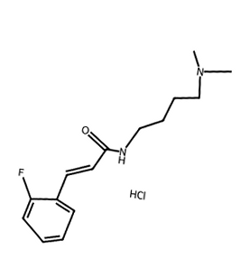 CN(C)CCCCNC(=O)/C=C/c1ccccc1F.Cl